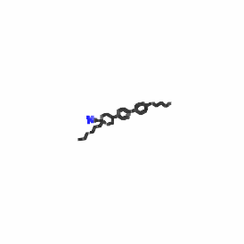 CCCCCCC1(C#N)CCC(c2ccc(-c3ccc(CCCCC)cc3)cc2)CC1